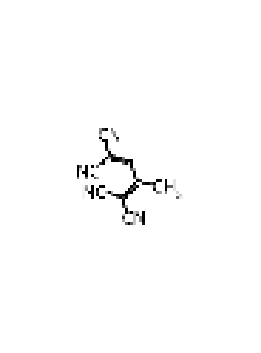 CC(C=C(C#N)C#N)=C(C#N)C#N